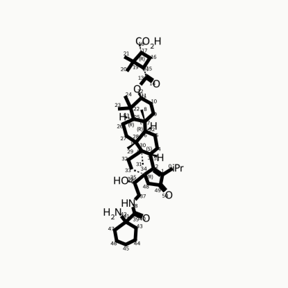 CC(C)C1=C2[C@H]3CC[C@@H]4[C@@]5(C)CC[C@H](OC(=O)[C@H]6C[C@@H](C(=O)O)C6(C)C)C(C)(C)[C@@H]5CC[C@@]4(C)[C@]3(C)CC[C@@]2([C@@H](O)CNC(=O)C2(N)CCCCC2)CC1=O